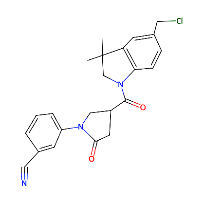 CC1(C)CN(C(=O)C2CC(=O)N(c3cccc(C#N)c3)C2)c2ccc(CCl)cc21